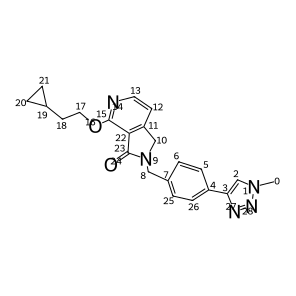 Cn1cc(-c2ccc(CN3Cc4ccnc(OCCC5CC5)c4C3=O)cc2)nn1